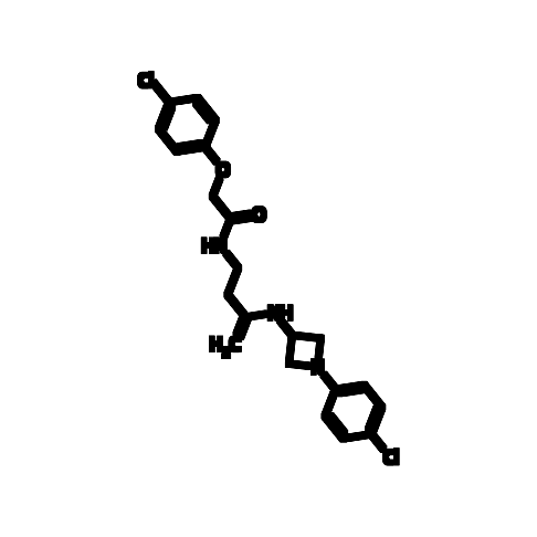 C=C(CCNC(=O)COc1ccc(Cl)cc1)NC1CN(c2ccc(Cl)cc2)C1